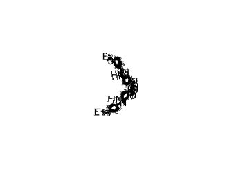 CCOc1ccc(-c2nc3cc(S(=O)(=O)OS(=O)(=O)c4ccc5[nH]c(-c6cccc(OCC)c6)nc5c4)ccc3[nH]2)cc1